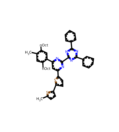 CCCCCCCCc1cc(-c2cc(-c3ccc(-c4ccc(C)s4)s3)nc(-c3nc(-c4ccccc4)nc(-c4ccccc4)n3)n2)c(CCCCCCCC)cc1C